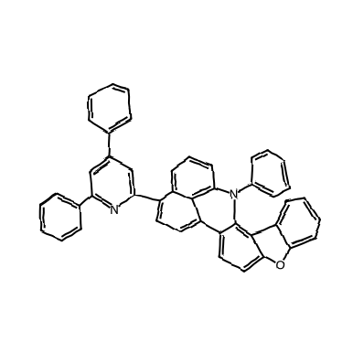 c1ccc(-c2cc(-c3ccccc3)nc(-c3ccc4c5c(cccc35)N(c3ccccc3)c3c-4ccc4oc5ccccc5c34)c2)cc1